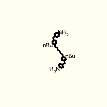 CCCCc1cc(Cc2ccc(N)cc2)ccc1CCCCCCc1ccc(Cc2ccc(N)cc2)cc1CCCC